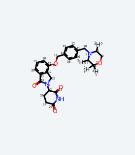 [2H]C1COC([2H])([2H])C([2H])N1Cc1ccc(COc2cccc3c2CN(C2CCC(=O)NC2=O)C3=O)cc1